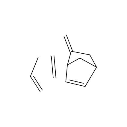 C=C.C=C1CC2C=CC1C2.C=CC